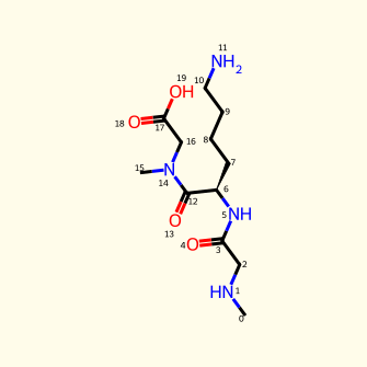 CNCC(=O)N[C@H](CCCCN)C(=O)N(C)CC(=O)O